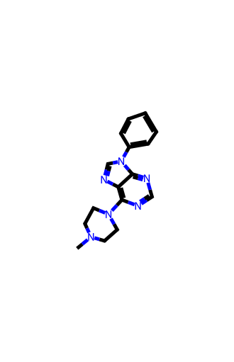 CN1CCN(c2ncnc3c2ncn3-c2ccccc2)CC1